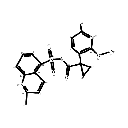 Cc1ccc(C2(C(=O)NS(=O)(=O)c3cccc4nc(C)ccc34)CC2)c(OC(C)C)n1